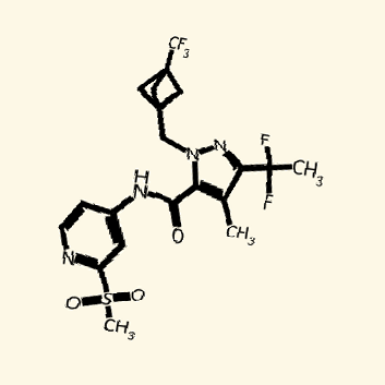 Cc1c(C(C)(F)F)nn(CC23CC(C(F)(F)F)(C2)C3)c1C(=O)Nc1ccnc(S(C)(=O)=O)c1